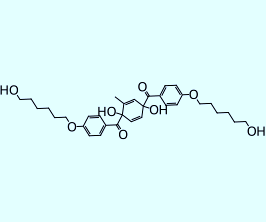 CC1=CC(O)(C(=O)c2ccc(OCCCCCCO)cc2)C=CC1(O)C(=O)c1ccc(OCCCCCCO)cc1